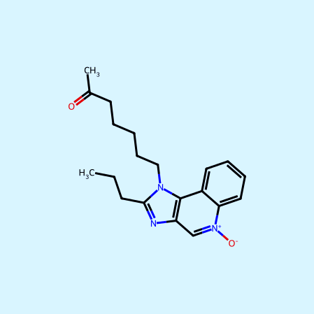 CCCc1nc2c[n+]([O-])c3ccccc3c2n1CCCCCC(C)=O